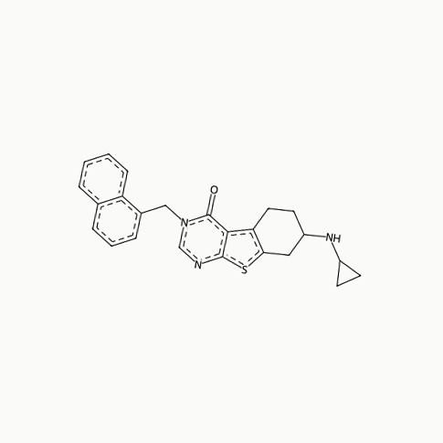 O=c1c2c3c(sc2ncn1Cc1cccc2ccccc12)CC(NC1CC1)CC3